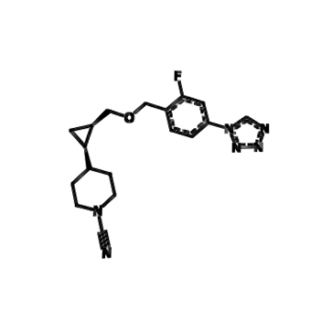 N#CN1CCC([C@H]2C[C@H]2COCc2ccc(-n3cnnn3)cc2F)CC1